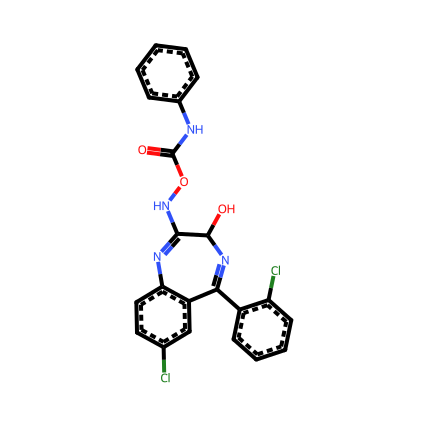 O=C(Nc1ccccc1)ONC1=Nc2ccc(Cl)cc2C(c2ccccc2Cl)=NC1O